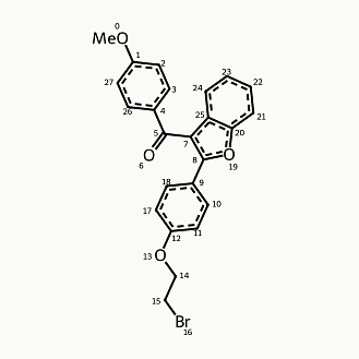 COc1ccc(C(=O)c2c(-c3ccc(OCCBr)cc3)oc3ccccc23)cc1